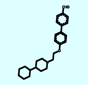 O=Cc1ccc(-c2ccc(OCCN3CCC(C4CCCCC4)CC3)cc2)cc1